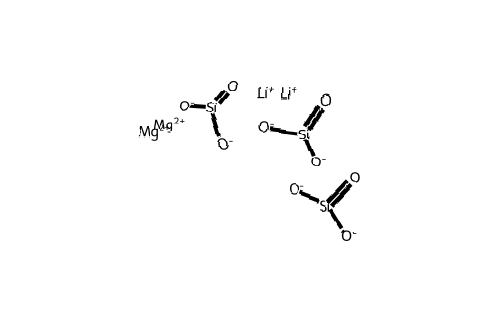 O=[Si]([O-])[O-].O=[Si]([O-])[O-].O=[Si]([O-])[O-].[Li+].[Li+].[Mg+2].[Mg+2]